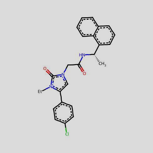 CCn1c(-c2ccc(Cl)cc2)cn(CC(=O)N[C@@H](C)c2cccc3ccccc23)c1=O